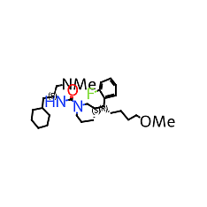 CNC[C@H](CC1CCCCC1)NC(=O)N1CCC[C@@H]([C@@H](CCCCOC)c2ccccc2F)C1